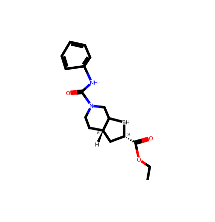 CCOC(=O)[C@H]1BC2CN(C(=O)Nc3ccccc3)CC[C@H]2C1